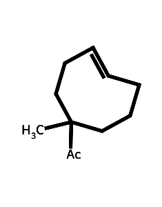 CC(=O)C1(C)CC/C=C/CCC1